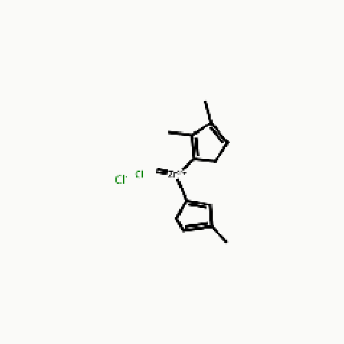 [CH2]=[Zr+2]([C]1=CC(C)=CC1)[C]1=C(C)C(C)=CC1.[Cl-].[Cl-]